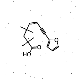 CC(C)(/C=C\C#Cc1ccco1)CC(C)(C)C(=O)O